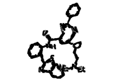 CCN(CC)CCOc1cc(C(=O)Nc2ccccc2-c2nc3cccnc3s2)nc(-c2ccccc2)n1